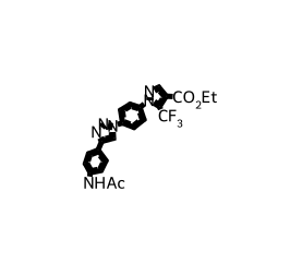 CCOC(=O)c1cnn(-c2ccc(-n3cc(-c4ccc(NC(C)=O)cc4)nn3)cc2)c1C(F)(F)F